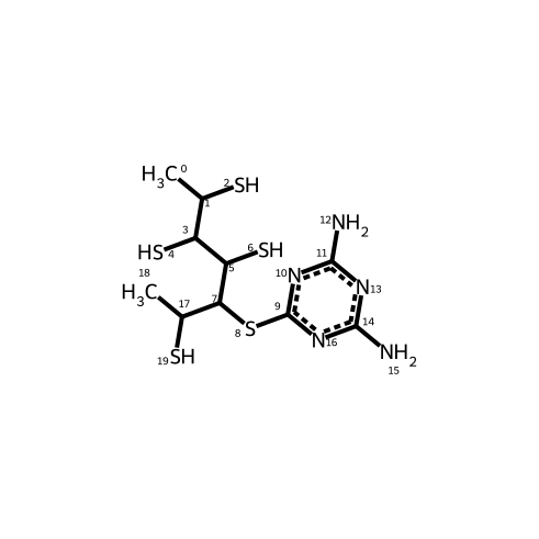 CC(S)C(S)C(S)C(Sc1nc(N)nc(N)n1)C(C)S